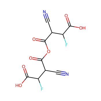 N#CC(C(=O)OC(=O)C(C#N)C(F)C(=O)O)C(F)C(=O)O